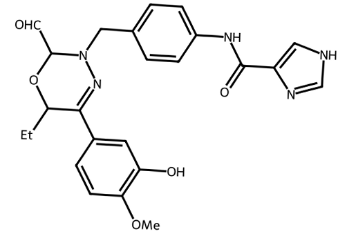 CCC1OC(C=O)N(Cc2ccc(NC(=O)c3c[nH]cn3)cc2)N=C1c1ccc(OC)c(O)c1